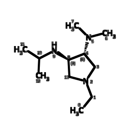 CCN1C[C@@H](N(C)C)[C@H](NC(C)C)C1